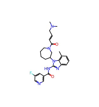 Cc1cccc2nc(NC(=O)c3cncc(F)c3)n(C3CCCCN(C(=O)/C=C/CN(C)C)C3)c12